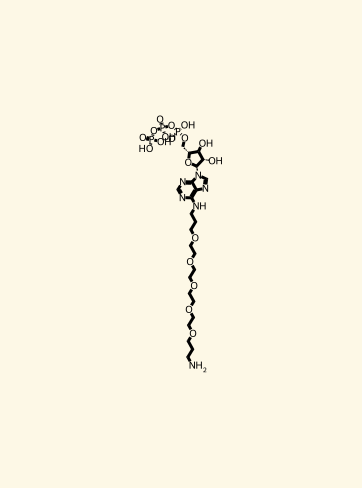 NCCCOCCOCCOCCOCCOCCCNc1ncnc2c1ncn2[C@@H]1O[C@H](COP(=O)(O)OP(=O)(O)OP(=O)(O)O)C(O)[C@@H]1O